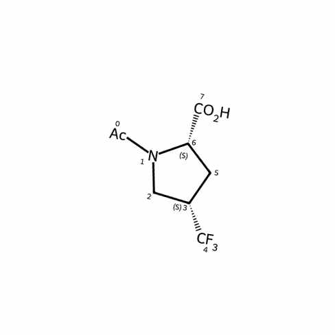 CC(=O)N1C[C@@H](C(F)(F)F)C[C@H]1C(=O)O